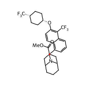 COC(=O)C1CC2CCCC(C1)N2Cc1cccc2c(C(F)(F)F)c(O[C@H]3CC[C@@H](C(F)(F)F)CC3)ccc12